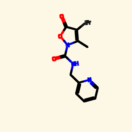 Cc1c(C(C)C)c(=O)on1C(=O)NCc1ccccn1